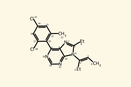 CC=C(CC)n1c(CC)nc2c(-c3c(C)cc(Cl)cc3Cl)ncnc21